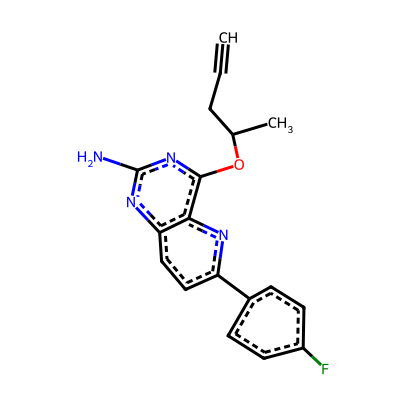 C#CCC(C)Oc1nc(N)nc2ccc(-c3ccc(F)cc3)nc12